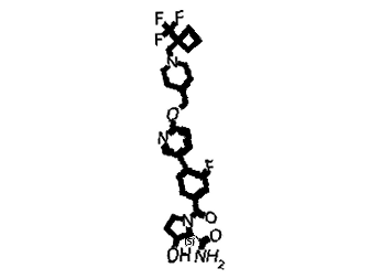 NC(=O)[C@@H]1C(O)CCN1C(=O)C1=CC(F)=C(c2ccc(OCC3CCN(CC4(C(F)(F)F)CCC4)CC3)nc2)CC1